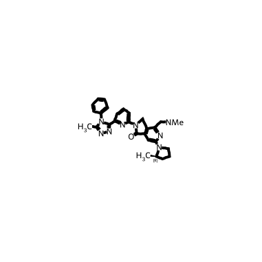 CNCc1nc(N2CCC[C@H]2C)cc2c1CN(c1cccc(-c3nnc(C)n3-c3ccccc3)n1)C2=O